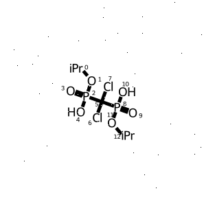 CC(C)OP(=O)(O)C(Cl)(Cl)P(=O)(O)OC(C)C